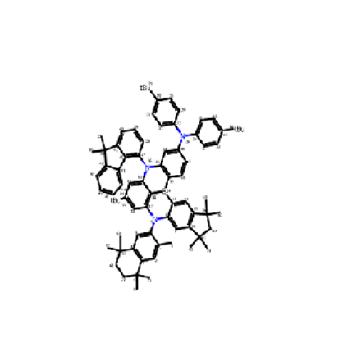 Cc1cc2c(cc1N1c3cc4c(cc3B3c5ccc(N(c6ccc(C(C)(C)C)cc6)c6ccc(C(C)(C)C)cc6)cc5N(c5cccc6c5-c5ccccc5C6(C)C)c5cc(C(C)(C)C)cc1c53)C(C)(C)CC4(C)C)C(C)(C)CCC2(C)C